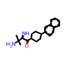 CC(C)(N)C(=N)C(=O)C1CCC(c2ccc3ccccc3c2)CC1